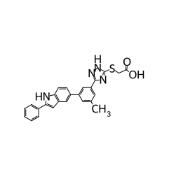 Cc1cc(-c2ccc3[nH]c(-c4ccccc4)cc3c2)cc(-c2n[nH]c(SCC(=O)O)n2)c1